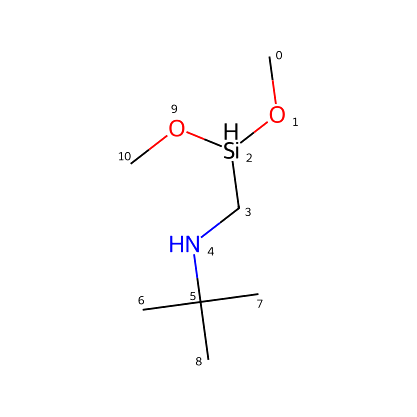 CO[SiH](CNC(C)(C)C)OC